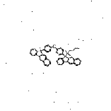 CCCCC(C)(C)C1(c2ccc(Oc3ccc(C4(C)c5ccccc5-c5cc6ccccc6cc54)cc3)cc2)c2ccccc2-c2cc3ccccc3cc21